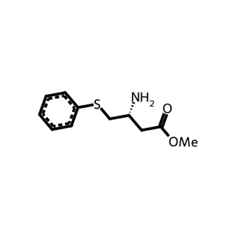 COC(=O)C[C@@H](N)CSc1ccccc1